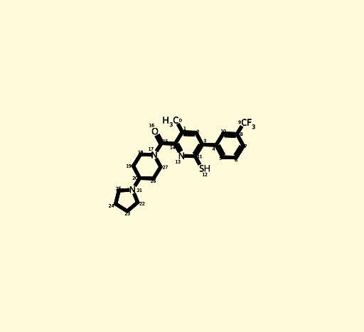 Cc1cc(-c2cccc(C(F)(F)F)c2)c(S)nc1C(=O)N1CCC(N2CCCC2)CC1